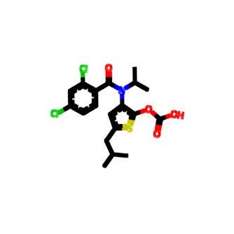 CC(C)Cc1cc(N(C(=O)c2ccc(Cl)cc2Cl)C(C)C)c(OC(=O)O)s1